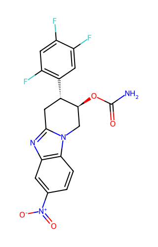 NC(=O)O[C@H]1Cn2c(nc3cc([N+](=O)[O-])ccc32)C[C@@H]1c1cc(F)c(F)cc1F